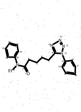 CCN(C(=O)CCCCc1nnnn1-c1ccccc1)c1ccccc1